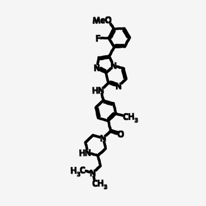 COc1cccc(-c2cnc3c(Nc4ccc(C(=O)N5CCNC(CN(C)C)C5)c(C)c4)nccn23)c1F